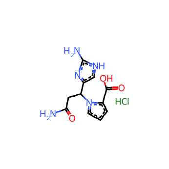 Cl.NC(=O)CC(c1c[nH]c(N)n1)n1cccc1C(=O)O